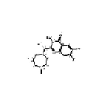 CCC[C@H](c1nc2cc(F)c(Br)cc2c(=O)n1CC)N1CCN(C)C[C@H](C)C1